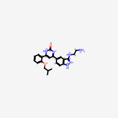 CC(C)COc1ccccc1-c1cc(-c2ccc3[nH]nc(NCCN)c3c2)nc(=O)[nH]1